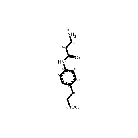 CCCCCCCCCCc1ccc(NC(=O)CCN)cc1